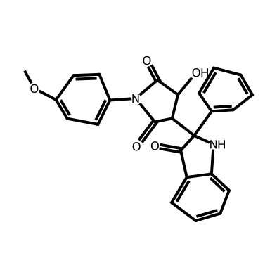 COc1ccc(N2C(=O)C(O)C(C3(c4ccccc4)Nc4ccccc4C3=O)C2=O)cc1